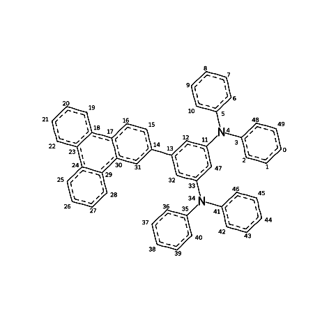 c1ccc(N(c2ccccc2)c2cc(-c3ccc4c5ccccc5c5ccccc5c4c3)cc(N(c3ccccc3)c3ccccc3)c2)cc1